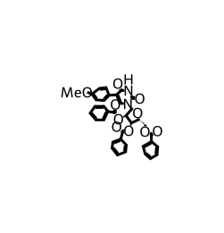 COc1ccc(-c2cn([C@@H]3O[C@H](COC(=O)c4ccccc4)[C@@H](OC(=O)c4ccccc4)[C@H]3OC(=O)c3ccccc3)c(=O)[nH]c2=O)cc1